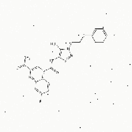 Cc1c(NC(=O)c2cc(C(N)=O)nc3cc(F)ccc23)nnn1CCOc1ccc(F)cc1